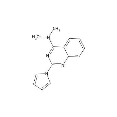 CN(C)c1nc(-n2cccc2)nc2ccccc12